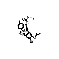 Cc1ccc(S(=O)(=O)Nc2cc(Br)c(OC(F)F)cc2C#CCOC(N)=O)cc1